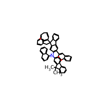 CC1(C)c2ccccc2-c2ccc(N(c3cc4c(cc3-c3ccc5ccccc5c3)-c3ccccc3C4(Cc3ccccc3)C3=CC=CCC=C3)c3cccc4ccccc34)cc21